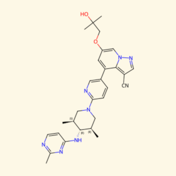 Cc1nccc(N[C@H]2[C@H](C)CN(c3ccc(-c4cc(OCC(C)(C)O)cn5ncc(C#N)c45)cn3)C[C@@H]2C)n1